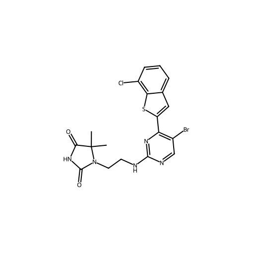 CC1(C)C(=O)NC(=O)N1CCNc1ncc(Br)c(-c2cc3cccc(Cl)c3s2)n1